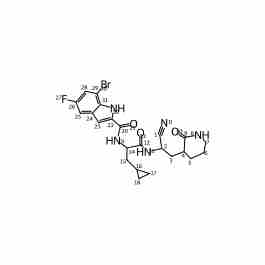 N#CC(CC1CCCNC1=O)NC(=O)C(CC1CC1)NC(=O)c1cc2cc(F)cc(Br)c2[nH]1